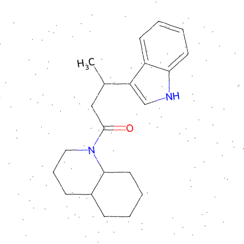 CC(CC(=O)N1CCCC2CCCCC21)c1c[nH]c2ccccc12